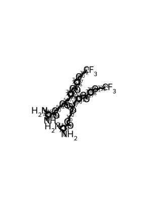 Nc1cc(N)cc(C(=O)OCCCCOC(=O)C=Cc2ccc(OC(=O)C3CCC(OCCCC(F)(F)F)CC3)cc2)c1.Nc1cc(N)cc(C(=O)OCCCOC(=O)C=Cc2ccc(OC(=O)C3CCC(OCCCC(F)(F)F)CC3)cc2)c1